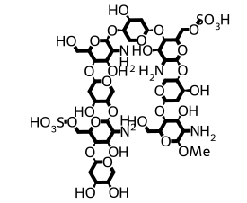 CO[C@H]1OC(CO)[C@@H](O[C@H]2C[C@H](O)[C@@H](O[C@@H]3OC(COS(=O)(=O)O)[C@@H](O[C@H]4C[C@H](O)[C@H](O[C@@H]5OC(CO)[C@@H](O[C@H]6C[C@H](O)C(O[C@H]7OC(COS(=O)(=O)O)[C@@H](O[C@H]8C[C@H](O)[C@H](O)CO8)[C@H](O)C7N)CO6)[C@H](O)C5N)CO4)[C@H](O)C3N)CO2)[C@H](O)C1N